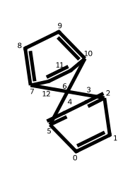 C1=CC2=CC=C1C21C2=CC=C1C=C2